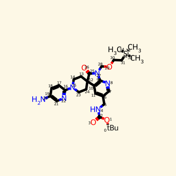 CC(C)(C)OC(=O)NCc1cnc2c(c1)C1(CCN(c3ccc(N)cn3)CC1)C(=O)N2COCC[Si](C)(C)C